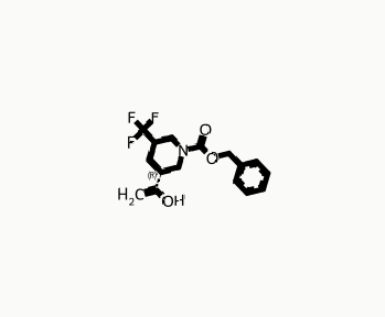 C=C(O)[C@@H]1CC(C(F)(F)F)CN(C(=O)OCc2ccccc2)C1